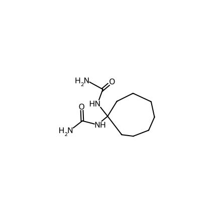 NC(=O)NC1(NC(N)=O)CCCCCCC1